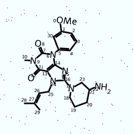 COc1cccc(-n2c(=O)n(C)c(=O)c3c2nc(N2CCCC(N)C2)n3CC=C(C)C)c1